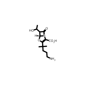 CC(O)C1C(=O)N2C(C(=O)O)=C(C(C)(C)CCCN)O[C@H]12